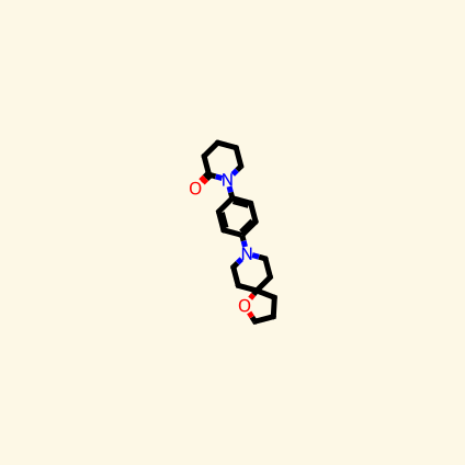 O=C1CCCCN1c1ccc(N2CCC3(CCCO3)CC2)cc1